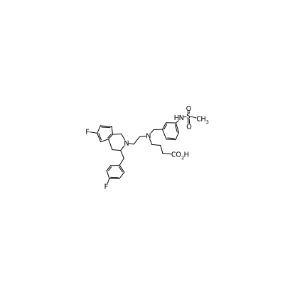 CS(=O)(=O)Nc1cccc(CN(CCCC(=O)O)CCN2Cc3ccc(F)cc3CC2Cc2ccc(F)cc2)c1